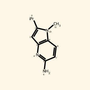 CC(C)c1cc2nc(N)ccc2n1C